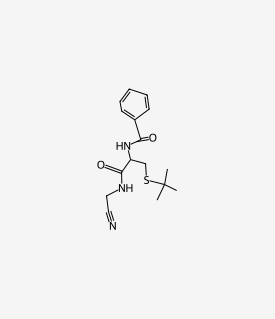 CC(C)(C)SCC(NC(=O)c1ccccc1)C(=O)NCC#N